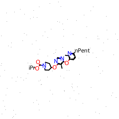 CCCCCc1ccc(Oc2ncnc(OC3CCN(C(=O)OC(C)C)CC3)c2C)c(C)n1